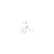 CCCCCC(C)(C)c1ccc([SiH](O[SiH](c2ccc(C(C)(C)CCCCC)c(C(C)(C)CCCCC)c2C(C)(C)CCCCC)c2ccc(C(C)(C)CCCCC)c(C(C)(C)CCCCC)c2C(C)(C)CCCCC)c2ccc(C(C)(C)CCCCC)c(C(C)(C)CCCCC)c2C(C)(C)CCCCC)c(C(C)(C)CCCCC)c1C(C)(C)CCCCC